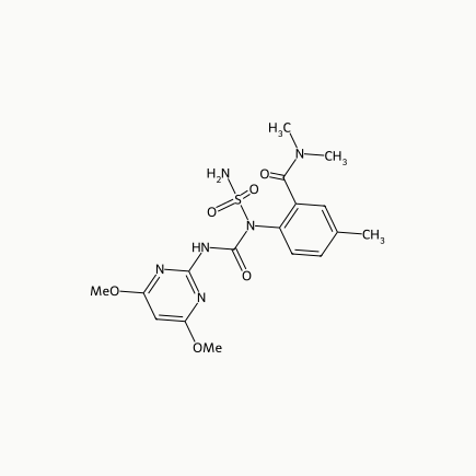 COc1cc(OC)nc(NC(=O)N(c2ccc(C)cc2C(=O)N(C)C)S(N)(=O)=O)n1